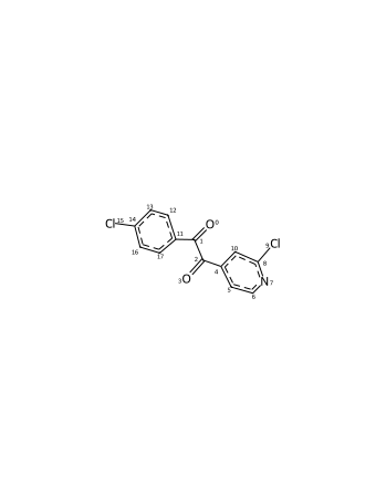 O=C(C(=O)c1ccnc(Cl)c1)c1ccc(Cl)cc1